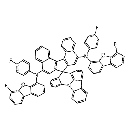 Fc1ccc(N(c2cc3c(c4ccccc24)-c2c(cc(N(c4ccc(F)cc4)c4cccc5c4oc4c(F)cccc45)c4ccccc24)C32c3ccccc3-n3c4ccccc4c4cccc2c43)c2cccc3c2oc2c(F)cccc23)cc1